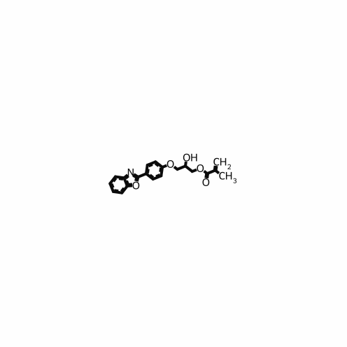 C=C(C)C(=O)OCC(O)COc1ccc(-c2nc3ccccc3o2)cc1